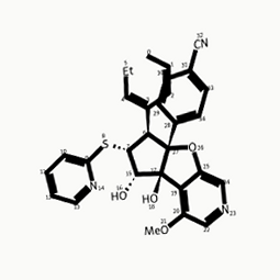 C/C=C\C(=C/CC)[C@@H]1[C@@H](Sc2ccccn2)[C@@H](O)[C@@]2(O)c3c(OC)cncc3O[C@@]12c1ccc(C#N)cc1